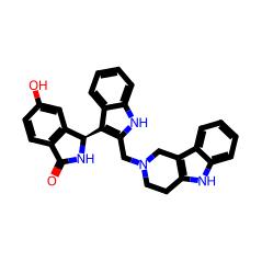 O=C1N[C@H](c2c(CN3CCc4[nH]c5ccccc5c4C3)[nH]c3ccccc23)c2cc(O)ccc21